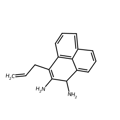 C=CCC1=C(N)C(N)c2cccc3cccc1c23